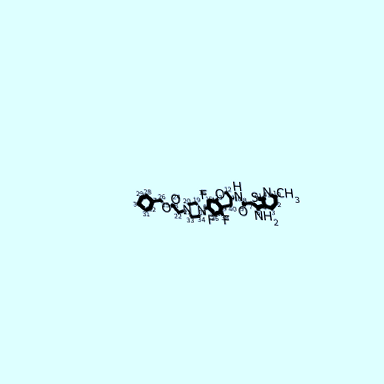 Cc1ccc2c(N)c(C(=O)N[C@H]3COc4c(F)c(N5CCN(CC(=O)OCc6ccccc6)CC5)c(F)c(F)c4C3)sc2n1